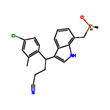 Cc1cc(Cl)ccc1C(CCC#N)c1c[nH]c2c(C[S@+](C)[O-])cccc12